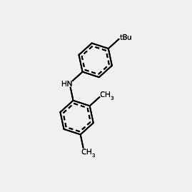 Cc1ccc(Nc2ccc(C(C)(C)C)cc2)c(C)c1